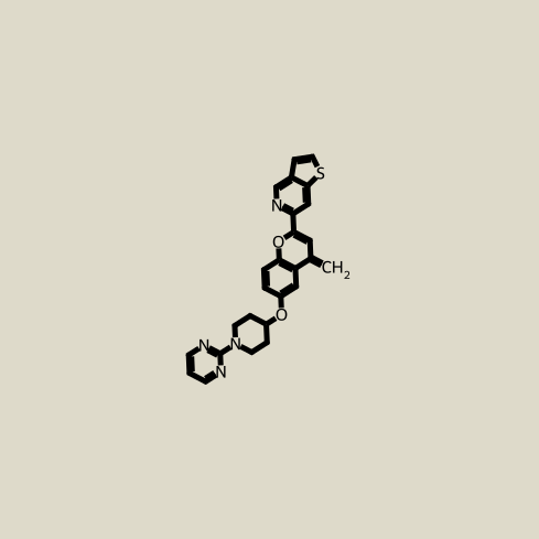 C=C1C=C(c2cc3sccc3cn2)Oc2ccc(OC3CCN(c4ncccn4)CC3)cc21